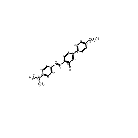 CCOC(=O)c1ccc(-c2ccc(/N=N/c3ccc(N(C)C)cc3)c(F)c2)cc1